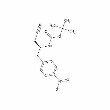 CC(C)(C)OC(=O)N[C@H](CC#N)Cc1ccc([N+](=O)[O-])cc1